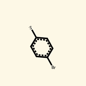 [S]c1ccc(Br)cc1